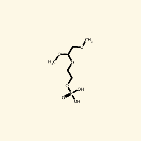 COCC(OC)OCCOP(=O)(O)O